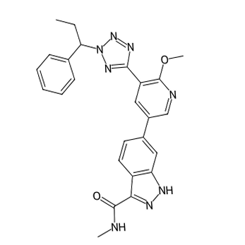 CCC(c1ccccc1)n1nnc(-c2cc(-c3ccc4c(C(=O)NC)n[nH]c4c3)cnc2OC)n1